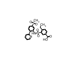 CCc1ccc(C(=O)O)cc1S(=O)(=O)Nc1cc(S(C)(=O)=O)ccc1-c1ccccn1